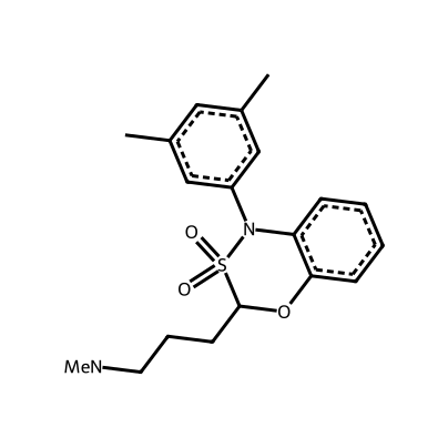 CNCCCC1Oc2ccccc2N(c2cc(C)cc(C)c2)S1(=O)=O